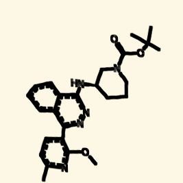 COc1nc(C)ccc1-c1nnc(N[C@@H]2CCCN(C(=O)OC(C)(C)C)C2)c2ccccc12